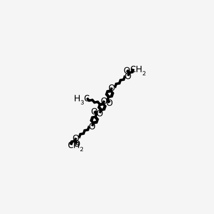 C=CC(=O)OCCCCCCOc1ccc(C(=O)Oc2ccc(OC(=O)c3ccc(OCCCCCCOC(=O)C=C)cc3)c(CCCCC)c2)cc1